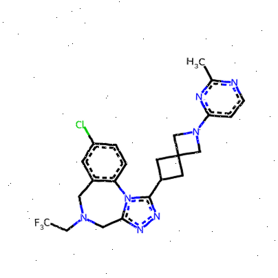 Cc1nccc(N2CC3(CC(c4nnc5n4-c4ccc(Cl)cc4CN(CC(F)(F)F)C5)C3)C2)n1